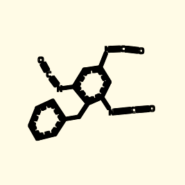 O=C=Nc1cc(N=C=O)c(Cc2ccccc2)c(N=C=O)c1